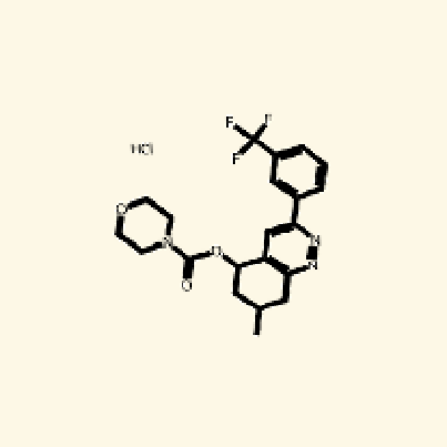 CC1Cc2nnc(-c3cccc(C(F)(F)F)c3)cc2C(OC(=O)N2CCOCC2)C1.Cl